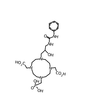 O=C(O)CN1CCN(CC(O)CNC(=O)Nc2ccccc2)CCN(CC(=O)O)CCN(CP(=O)(O)O)CC1